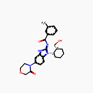 O=C(/N=c1\[nH]c2cc(N3CCOCC3=O)ccc2n1[C@H]1CCCC[C@H]1CO)c1cccc(C(F)(F)F)c1